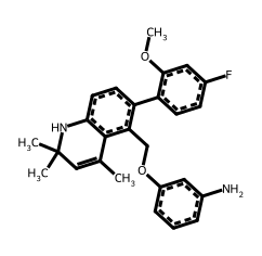 COc1cc(F)ccc1-c1ccc2c(c1COc1cccc(N)c1)C(C)=CC(C)(C)N2